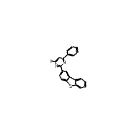 Ic1cc(-c2ccccc2)nc(-c2ccc3sc4ccccc4c3c2)n1